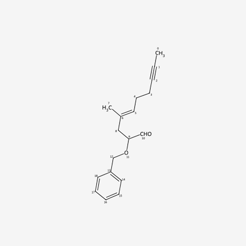 CC#CCCC=C(C)CC(C=O)OCc1ccccc1